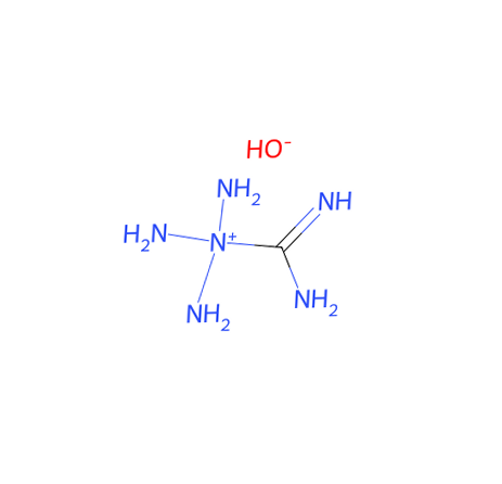 N=C(N)[N+](N)(N)N.[OH-]